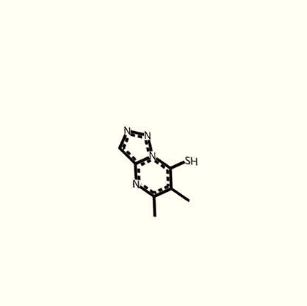 Cc1nc2cnnn2c(S)c1C